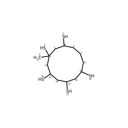 CC1(S)CC(S)CCCC(S)CC(S)CC(S)C1